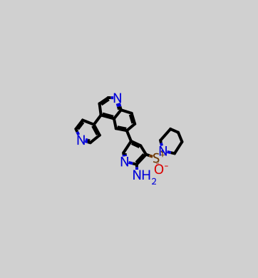 Nc1ncc(-c2ccc3nccc(-c4ccncc4)c3c2)cc1[S+]([O-])N1CCCCC1